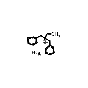 C#N.C=CC(S)(Cc1ccccc1)Cc1ccccc1